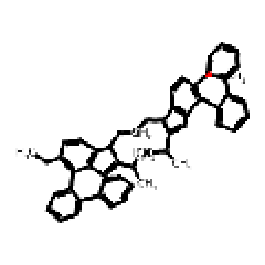 CCc1ccc2c(c1-c1ccccc1-c1ccccc1)C=C(C(C)C)C2C[SiH2]CC1C(C(C)C)=Cc2c1ccc(CC)c2-c1ccccc1-c1ccccc1